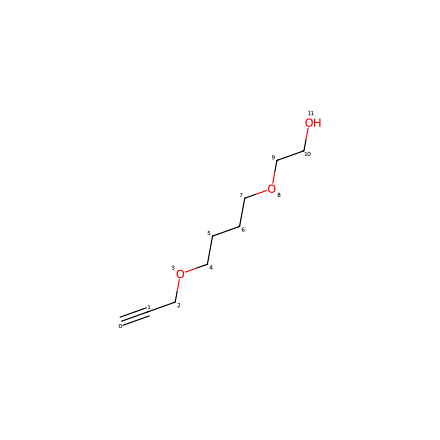 C#CCOCCCCOCCO